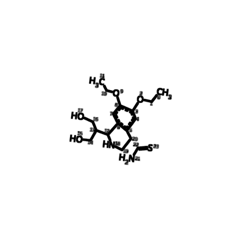 CCOc1cc2c(cc1OCC)C(C(CO)CO)NCC2.NC=S